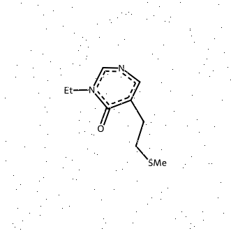 CCn1cncc(CCSC)c1=O